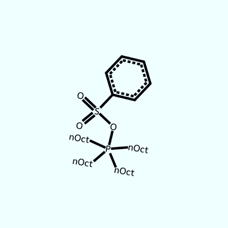 CCCCCCCCP(CCCCCCCC)(CCCCCCCC)(CCCCCCCC)OS(=O)(=O)c1ccccc1